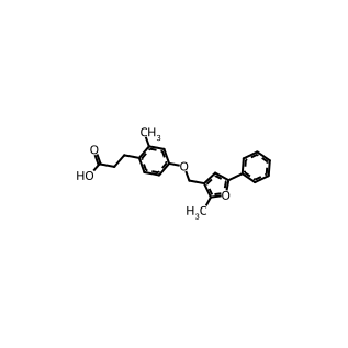 Cc1cc(OCc2cc(-c3ccccc3)oc2C)ccc1CCC(=O)O